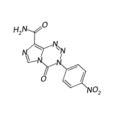 NC(=O)c1ncn2c(=O)n(-c3ccc([N+](=O)[O-])cc3)nnc12